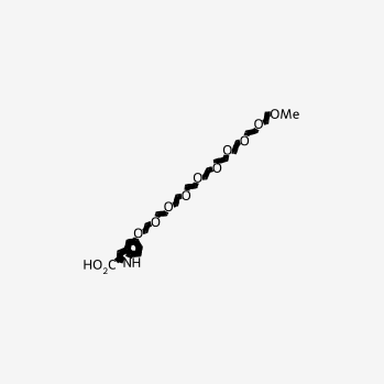 COCCOCCOCCOCCOCCOCCOCCOCCOCCOc1ccc2[nH]c(C(=O)O)cc2c1